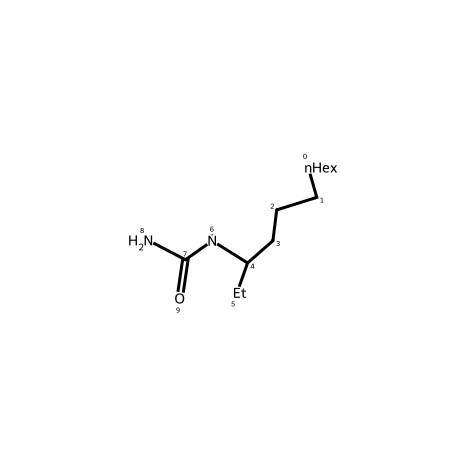 CCCCCCCCCC(CC)[N]C(N)=O